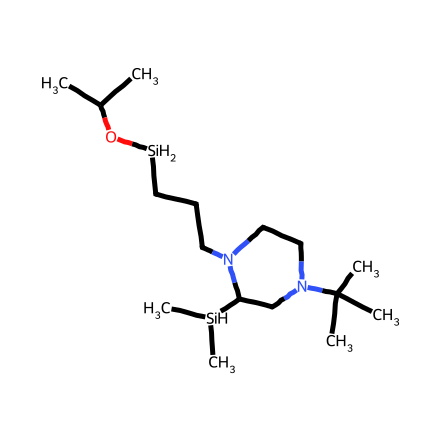 CC(C)O[SiH2]CCCN1CCN(C(C)(C)C)CC1[SiH](C)C